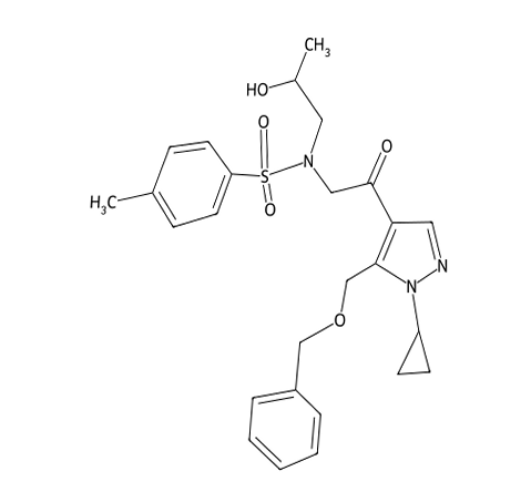 Cc1ccc(S(=O)(=O)N(CC(=O)c2cnn(C3CC3)c2COCc2ccccc2)CC(C)O)cc1